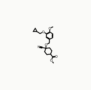 COC(=O)C1CCC(C#N)(OCc2ccc(OC)c(OCC3CC3)c2)CC1